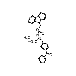 O.O=C(N[C@@H](Cc1ccc(C(=O)c2ccccc2)cc1)C(=O)O)OCC1c2ccccc2-c2ccccc21